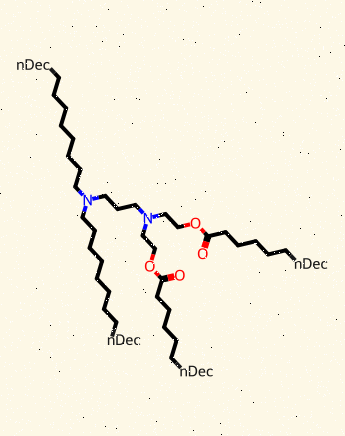 CCCCCCCCCCCCCCCCCCN(CCCCCCCCCCCCCCCCCC)CCCN(CCOC(=O)CCCCCCCCCCCCCCC)CCOC(=O)CCCCCCCCCCCCCCC